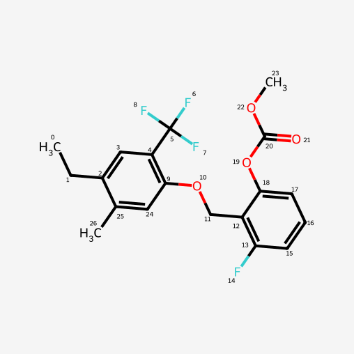 CCc1cc(C(F)(F)F)c(OCc2c(F)cccc2OC(=O)OC)cc1C